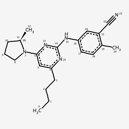 CCCCc1cc(N2CCC[C@H]2C)nc(Nc2ccc(C)c(C#N)c2)n1